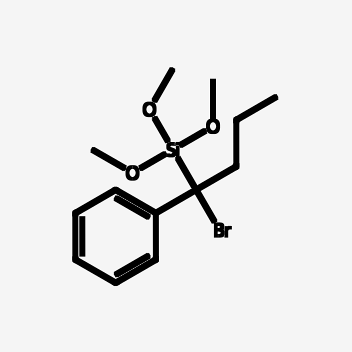 CCCC(Br)(c1ccccc1)[Si](OC)(OC)OC